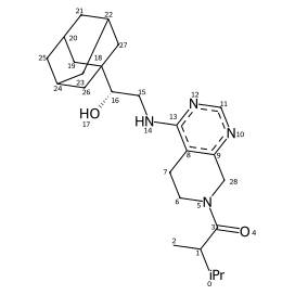 CC(C)C(C)C(=O)N1CCc2c(ncnc2NC[C@H](O)C23CC4CC(CC(C4)C2)C3)C1